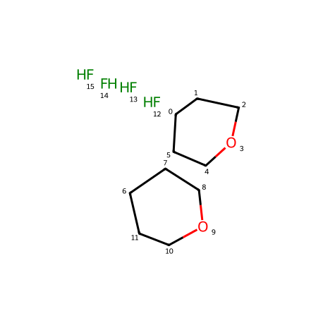 C1CCOCC1.C1CCOCC1.F.F.F.F